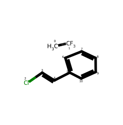 CC(F)(F)F.ClC=Cc1ccccc1